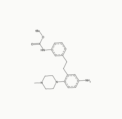 CN1CCN(c2ccc(N)cc2CCc2cccc(NC(=O)OC(C)(C)C)c2)CC1